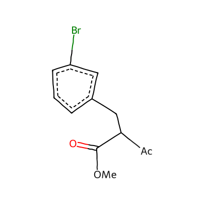 COC(=O)C(Cc1cccc(Br)c1)C(C)=O